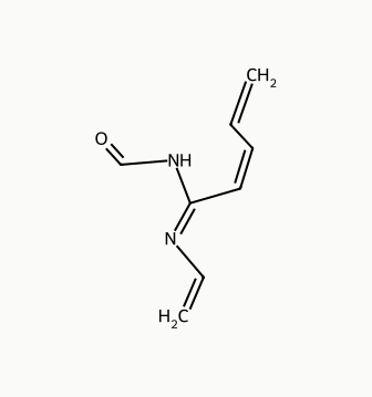 C=C/C=C\C(=N/C=C)NC=O